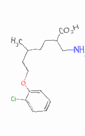 CC(CCOc1ccccc1Cl)CCC(CN)C(=O)O